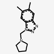 Cc1cc2nnn(CN3CCCC3)c2cc1C